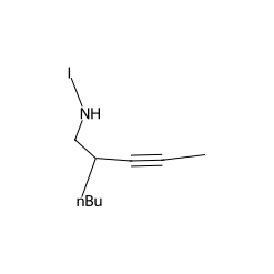 CC#CC(CCCC)CNI